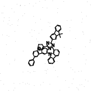 CC1(C)c2ccccc2-c2ccc(-c3nc(-c4ccccc4)nc(-c4cccc5c6ccccc6n(-c6ccc7oc8ccc(-c9ccccc9)cc8c7c6)c45)n3)cc21